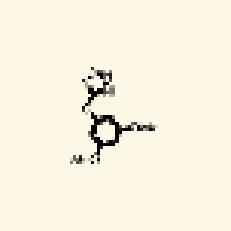 COc1cc(OC)cc(Oc2nnn[nH]2)c1